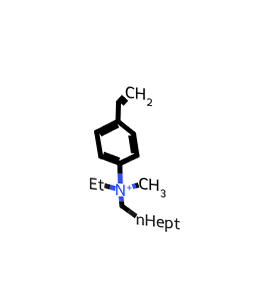 C=Cc1ccc([N+](C)(CC)CCCCCCCC)cc1